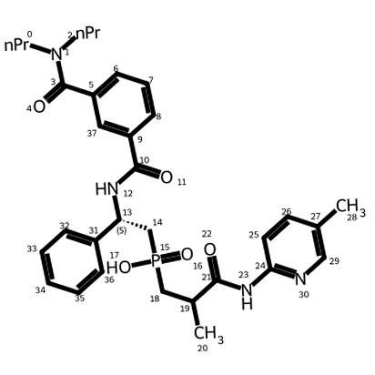 CCCN(CCC)C(=O)c1cccc(C(=O)N[C@H](CP(=O)(O)CC(C)C(=O)Nc2ccc(C)cn2)c2ccccc2)c1